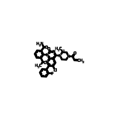 C=CC(=O)N1CCN(c2nc(=O)n(-c3c(C(N)=O)cccc3C(C)C)c3nc(-c4ccccc4F)c(Cl)cc23)[C@@H](C)C1